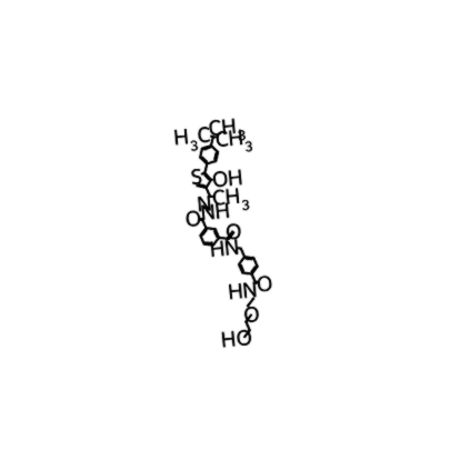 C/C(=N\NC(=O)c1cccc(C(=O)NCc2ccc(C(=O)NCCOCCO)cc2)c1)c1csc(-c2ccc(C(C)(C)C)cc2)c1O